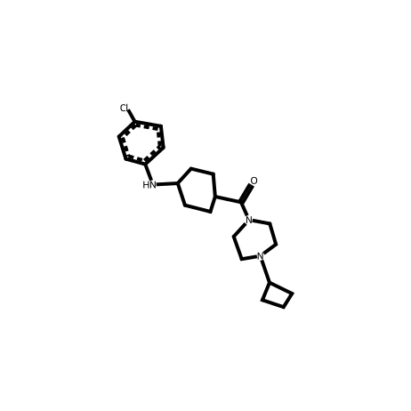 O=C(C1CCC(Nc2ccc(Cl)cc2)CC1)N1CCN(C2CCC2)CC1